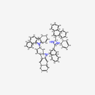 C1=CCC2C=C3C(=CC2=C1)N(c1cc(C2=[N+](C4C=CC=CC4)C(c4cc5ccccc5c5ccccc45)N2)cc2ccccc12)C1CC(n2c4c(c5ccc6ccccc6c52)CCC=C4)C=CC31